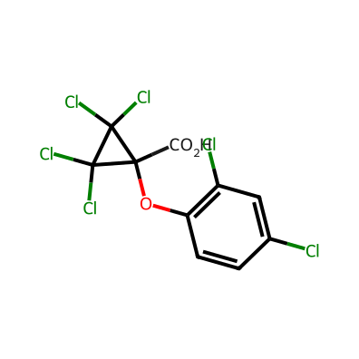 O=C(O)C1(Oc2ccc(Cl)cc2Cl)C(Cl)(Cl)C1(Cl)Cl